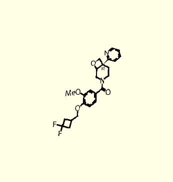 COc1cc(C(=O)N2CC[C@@]3(c4ccccn4)COC3C2)ccc1OCC1CC(F)(F)C1